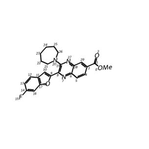 COC(=O)c1ccc2nc(-c3cc4ccc(F)cc4o3)c(N3CCCCCC3)nc2c1